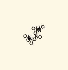 c1ccc(-c2nnc(-c3ccccc3-c3ccc(N(c4ccccc4)c4ccc(-c5ccccc5-c5nnc(-c6ccccc6)o5)cc4)cc3)o2)cc1